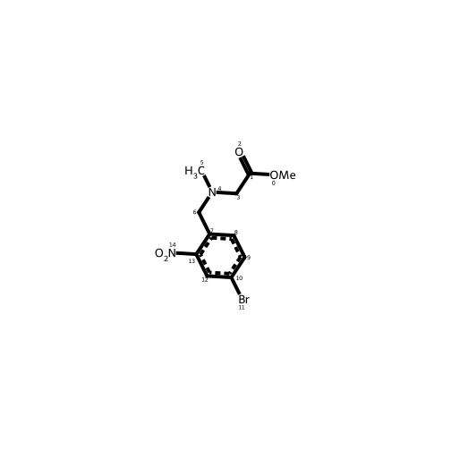 COC(=O)CN(C)Cc1ccc(Br)cc1[N+](=O)[O-]